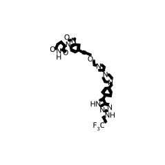 Cn1c(=O)n(C2CCC(=O)NC2=O)c2ccc(C#CCOCCN3CCC(N4CCN(Cc5ccc(-c6c[nH]c7nc(NCCC(F)(F)F)ncc67)cc5)CC4)C3)cc21